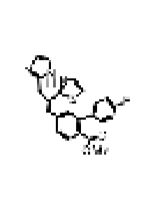 COC(=O)c1ccc(C=C(Cc2ncc[nH]2)c2nccs2)cc1-c1ccc(F)cc1